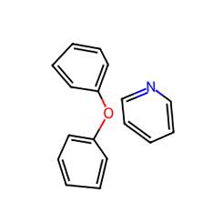 c1ccc(Oc2ccccc2)cc1.c1ccncc1